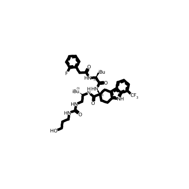 CCC(C)[C@H](NC(=O)Cc1ccccc1F)C(=O)N[C@]1(C(=O)NC(CNC(=O)NCCCO)[C@@H](C)CC)CCc2[nH]c3c(C(F)(F)F)cccc3c2C1